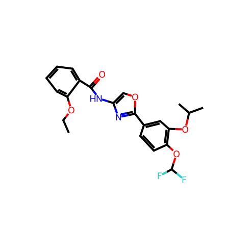 CCOc1ccccc1C(=O)Nc1coc(-c2ccc(OC(F)F)c(OC(C)C)c2)n1